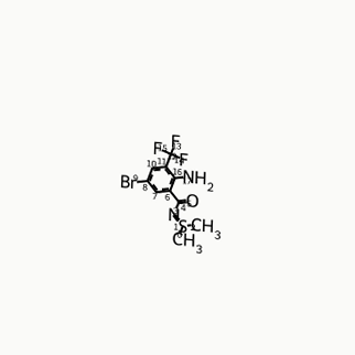 CS(C)=NC(=O)c1cc(Br)cc(C(F)(F)F)c1N